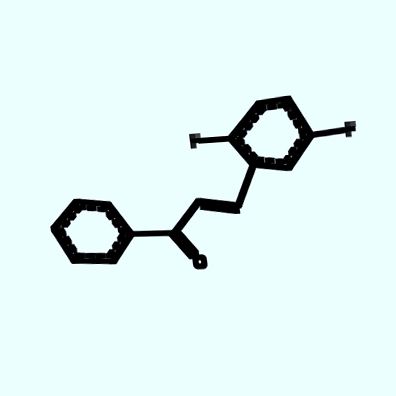 O=C(/C=C/c1cc(F)ccc1F)c1ccccc1